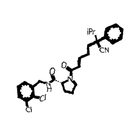 CC(C)[C@@](C#N)(CCCCC(=O)N1CCC[C@@H]1C(=O)NCc1cccc(Cl)c1Cl)c1ccccc1